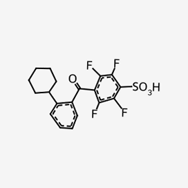 O=C(c1ccccc1C1CCCCC1)c1c(F)c(F)c(S(=O)(=O)O)c(F)c1F